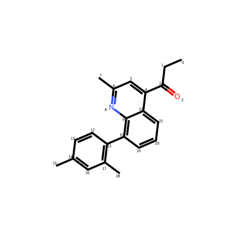 CCC(=O)c1cc(C)nc2c(-c3ccc(C)cc3C)cccc12